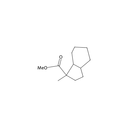 COC(=O)C1(C)CCC2CCCCC21